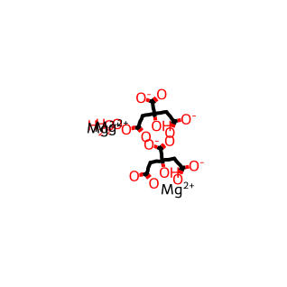 O.O.O=C([O-])CC(O)(CC(=O)[O-])C(=O)[O-].O=C([O-])CC(O)(CC(=O)[O-])C(=O)[O-].[Mg+2].[Mg+2].[Mg+2]